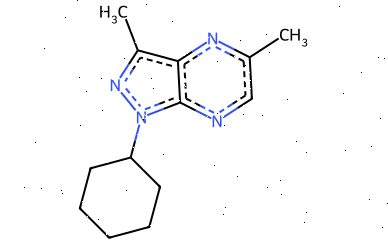 Cc1cnc2c(n1)c(C)nn2C1CCCCC1